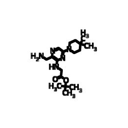 CC1(C)CCN(c2cnc(CN)c(NCC(=O)OC(C)(C)C)n2)CC1